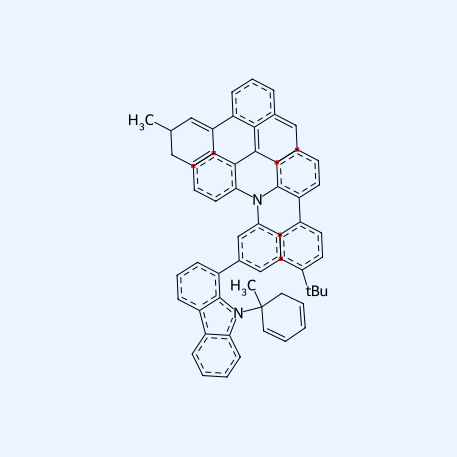 CC1C=C(c2cccc3c2=C(c2ccccc2N(c2cccc(-c4cccc5c6ccccc6n(C6(C)C=CC=CC6)c45)c2)c2ccccc2-c2ccc(C(C)(C)C)cc2)CCC=3)C=CC1